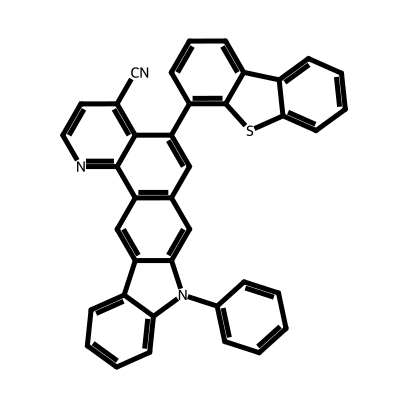 N#Cc1ccnc2c1c(-c1cccc3c1sc1ccccc13)cc1cc3c(cc12)c1ccccc1n3-c1ccccc1